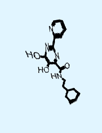 O=C(NCCC1CCCCC1)c1nc(-c2ccccn2)nc(O)c1O